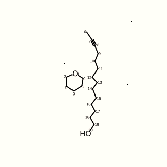 C1CCOCC1.CC#CCCCCCCCCCCCO